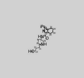 CC(C)n1nc(C(=O)N[C@@H]2CC[C@H](CCCO)NC2)c2ccccc21